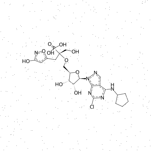 O=P(O)(O)[C@@](CO)(Cc1cc(O)no1)OC[C@H]1O[C@@H](n2ncc3c(NC4CCCC4)nc(Cl)nc32)[C@H](O)[C@@H]1O